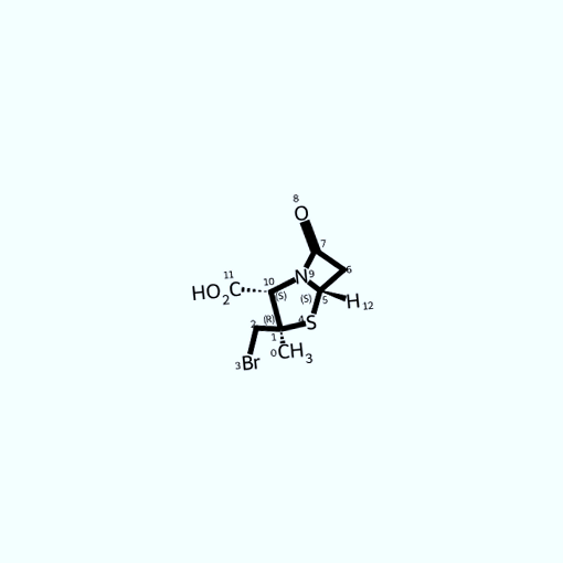 C[C@@]1(CBr)S[C@H]2CC(=O)N2[C@H]1C(=O)O